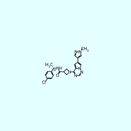 C[C@H](NC(=O)C1CN(c2ncnn3cc(-c4cnn(C)c4)cc23)C1)c1ccc(Cl)cc1